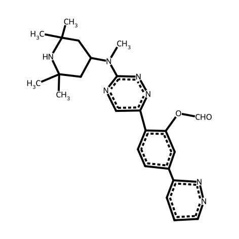 CN(c1ncc(-c2ccc(-c3cccnn3)cc2OC=O)nn1)C1CC(C)(C)NC(C)(C)C1